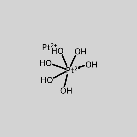 [OH][Pt-2]([OH])([OH])([OH])([OH])[OH].[Pt+2]